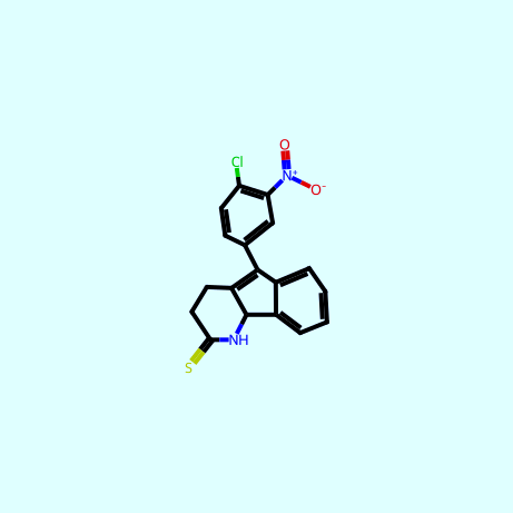 O=[N+]([O-])c1cc(C2=C3CCC(=S)NC3c3ccccc32)ccc1Cl